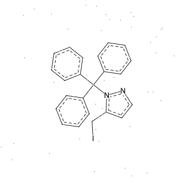 ICc1ccnn1C(c1ccccc1)(c1ccccc1)c1ccccc1